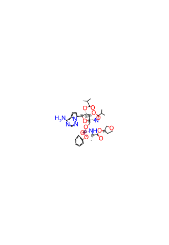 CC(C)C(=O)O[C@H]1[C@H](c2ccc3c(N)ncnn23)O[C@](C#N)(CO[P@@](=O)(N[C@@H](C)C(=O)O[C@@H]2CCOC2)Oc2ccccc2)[C@H]1OC(=O)C(C)C